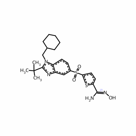 CC(C)(C)c1nc2cc(S(=O)(=O)c3ccc(/C(N)=N/O)s3)ccc2n1CC1CCCCC1